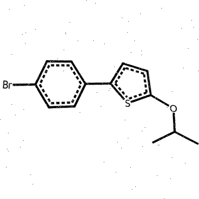 CC(C)Oc1ccc(-c2ccc(Br)cc2)s1